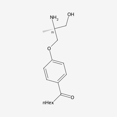 CCCCCCC(=O)c1ccc(OC[C@@](C)(N)CO)cc1